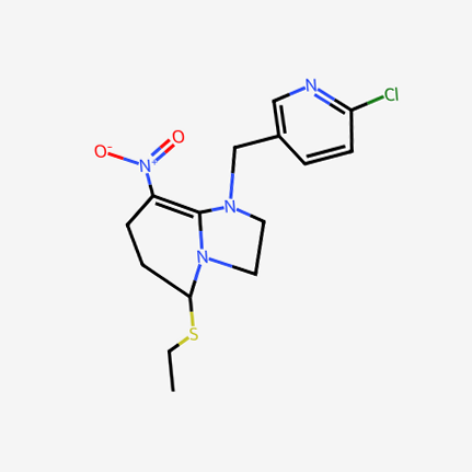 CCSC1CCC([N+](=O)[O-])=C2N(Cc3ccc(Cl)nc3)CCN21